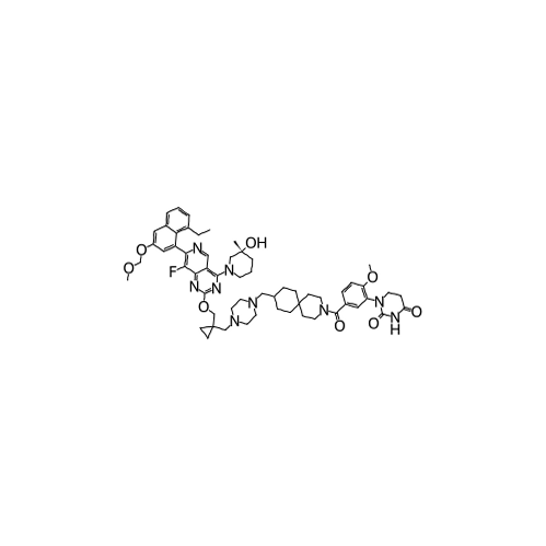 CCc1cccc2cc(OCOC)cc(-c3ncc4c(N5CCC[C@@](C)(O)C5)nc(OCC5(CN6CCN(CC7CCC8(CC7)CCN(C(=O)c7ccc(OC)c(N9CCC(=O)NC9=O)c7)CC8)CC6)CC5)nc4c3F)c12